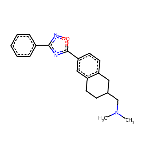 CN(C)CC1CCc2cc(-c3nc(-c4ccccc4)no3)ccc2C1